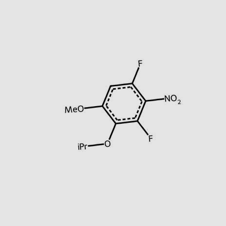 COc1cc(F)c([N+](=O)[O-])c(F)c1OC(C)C